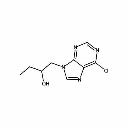 CCC(O)Cn1cnc2c(Cl)ncnc21